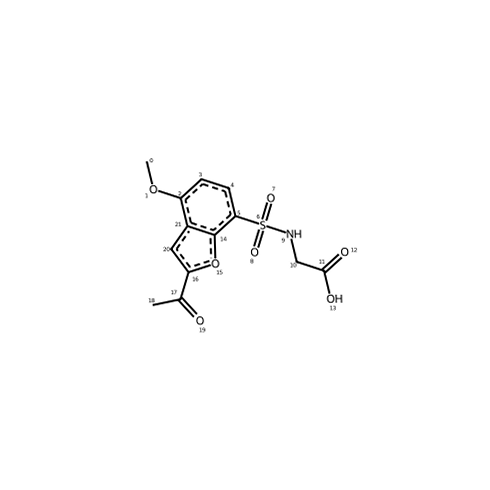 COc1ccc(S(=O)(=O)NCC(=O)O)c2oc(C(C)=O)cc12